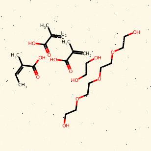 C=C(C)C(=O)O.C=C(C)C(=O)O.CC=C(C)C(=O)O.OCCO.OCCOCCOCCOCCO